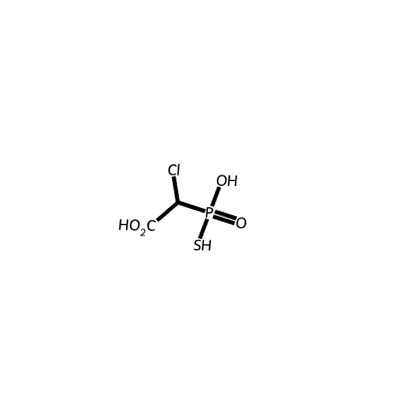 O=C(O)C(Cl)P(=O)(O)S